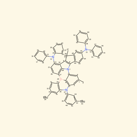 Cc1cc2c3c(c1)-n1c4c(c5c(N(c6ccccc6)c6ccccc6)ccc(c51)B3c1ccc(C(C)(C)C)cc1N2c1cccc(C(C)(C)C)c1)C(C)(C)c1cc(N(c2ccccc2)c2ccccc2)ccc1-4